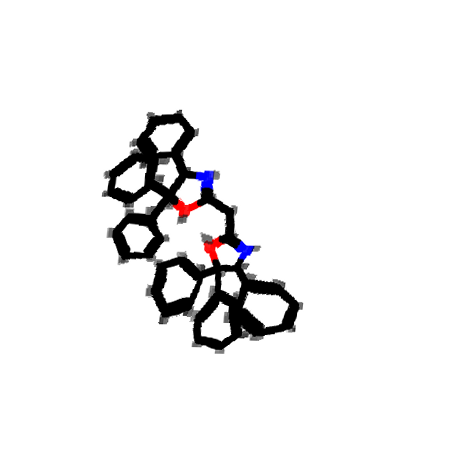 c1ccc(C2N=C(CC3=NC(c4ccccc4)C(c4ccccc4)(c4ccccc4)O3)OC2(c2ccccc2)c2ccccc2)cc1